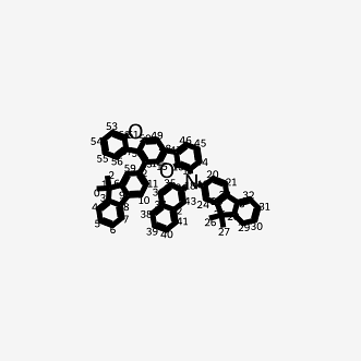 CC1(C)c2ccccc2-c2ccc(-c3c4oc5c(N(c6ccc7c(c6)C(C)(C)C6CC=CC=C76)c6ccc7ccccc7c6)cccc5c4cc4oc5ccccc5c34)cc21